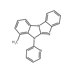 Cc1cccc2c1n(-c1ccccn1)c1nc3ccccc3n21